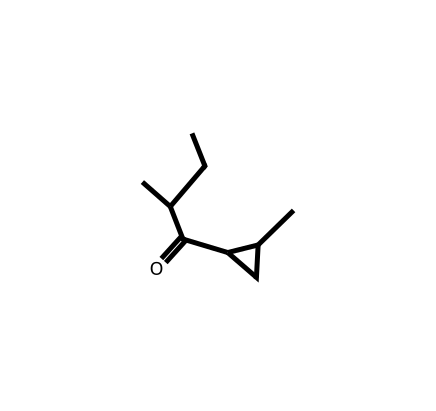 CCC(C)C(=O)C1CC1C